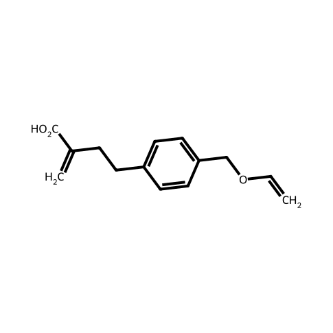 C=COCc1ccc(CCC(=C)C(=O)O)cc1